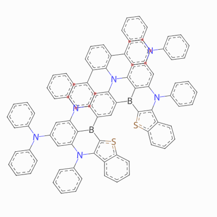 c1ccc(-c2cccc(-c3ccccc3)c2N2c3cc4c(cc3B3c5sc6ccccc6c5N(c5ccccc5)c5cc(N(c6ccccc6)c6ccccc6)cc2c53)B2c3sc5ccccc5c3N(c3ccccc3)c3cc(N(c5ccccc5)c5ccccc5)cc(c32)N4c2ccccc2)cc1